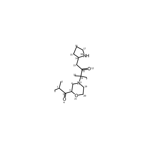 CC(C)C(=O)C1CN(C(C)(C)C(=O)CC2CCCN2)CCO1